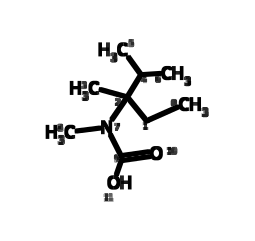 CCC(C)(C(C)C)N(C)C(=O)O